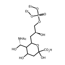 CCOP(=O)(OCC)OC[C@@H](O)CC1OC(O)(C(=O)O)CC(O)C1[C@H](O)NC(C)=O